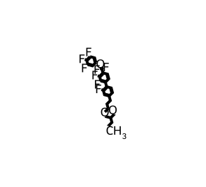 CCCC1COC(CCc2ccc(-c3ccc(C(F)(F)Oc4cc(F)c(F)c(F)c4)c(F)c3F)c(F)c2)OC1